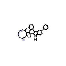 C=C1/C=C\C=C/C/C=C\c2oc3c4[nH]c5ccc(-c6ccccc6)cc5c4c4ccccc4c3c21